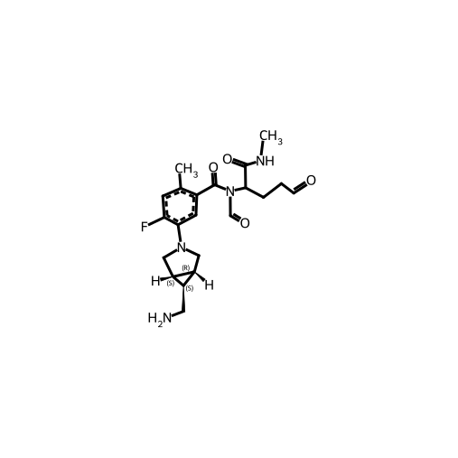 CNC(=O)C(CCC=O)N(C=O)C(=O)c1cc(N2C[C@@H]3[C@@H](CN)[C@@H]3C2)c(F)cc1C